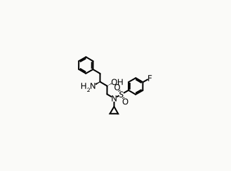 N[C@@H](Cc1ccccc1)[C@H](O)CN(C1CC1)S(=O)(=O)c1ccc(F)cc1